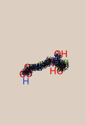 C[C@@]1(O)CCCN(c2nc(OCC3(CN4CC5(CCC(F)(CN6CCN(c7ccc8c(c7)CN([C@H]7CCC(=O)NC7=O)C8=O)CC6)CC5)C4)CC3)nc3c(F)c(-c4cc(O)cc5ccc(F)c(F)c45)ncc23)C1